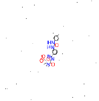 COC(=O)CC(C)N(C)C(=O)c1nc(-c2cccc(NC(=O)Nc3ccc(C)cc3)c2)no1